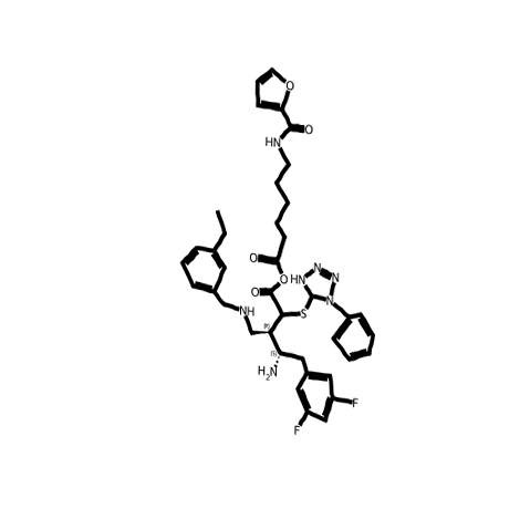 CCc1cccc(CNC[C@@H](C(SC2NN=NN2c2ccccc2)C(=O)OC(=O)CCCCCNC(=O)c2ccco2)[C@@H](N)Cc2cc(F)cc(F)c2)c1